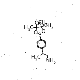 CC(CN)c1ccc(B2OC(C)(C)C(C)(C)O2)cc1